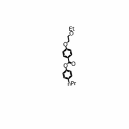 CCCc1ccc(OC(=O)c2ccc(OCCOCC)cc2)cc1